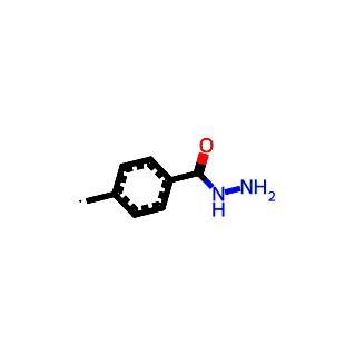 [CH2]c1ccc(C(=O)NN)cc1